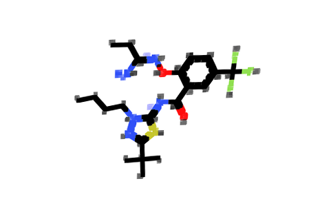 CCCCn1nc(C(C)(C)C)s/c1=N\C(=O)c1cc(C(F)(F)F)ccc1O/N=C(\N)CC